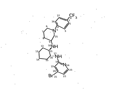 FC(F)(F)c1ccc(N2CCCC(N[C@@H]3CCCC[C@H]3Nc3cc(Br)ccn3)C2)cc1